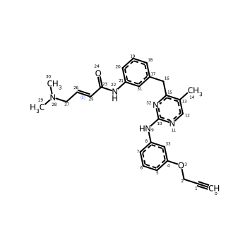 C#CCOc1cccc(Nc2ncc(C)c(Cc3cccc(NC(=O)/C=C/CN(C)C)c3)n2)c1